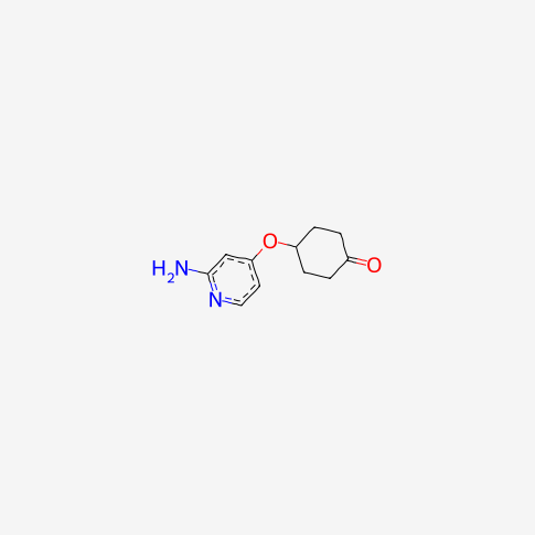 Nc1cc(OC2CCC(=O)CC2)ccn1